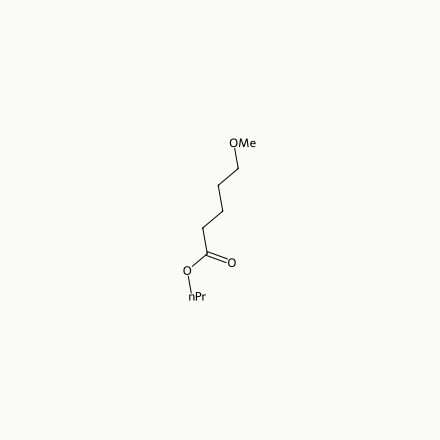 CCCOC(=O)CCCCOC